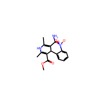 COC(=O)C1=C(C)NC(C)=C(C(N)=O)C1c1ccccc1[N+](=O)[O-]